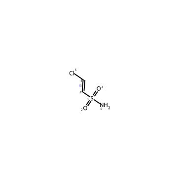 NS(=O)(=O)/C=C/Cl